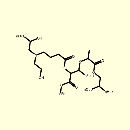 CCCCCCCCC(O)CN(CCO)CCCC(=O)OC(C(=O)OCCC)C(CCCCC)SC(C)C(=O)OCC(CCCCCC)CCCCCCCC